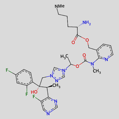 CNCCC[C@H](N)C(=O)OCc1cccnc1N(C)C(=O)OC(C)[n+]1cnn(C[C@](O)(c2ccc(F)cc2F)[C@@H](C)c2ncncc2F)c1